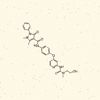 Cc1c(C(=O)Nc2ccc(Oc3ccnc(NC(=O)N(C)CCO)c3)cc2)c(=O)n(-c2ccccc2)n1C